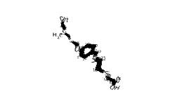 C=S(CCO)CSCOc1ccc(CSCCSCC(=O)O)cc1